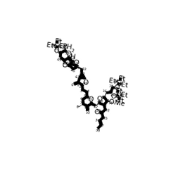 C=C1C(CCC2C[C@@H](C)C(=C)C(C[C@@H]3O[C@H](CC(CO[Si](CC)(CC)CC)O[Si](CC)(CC)CC)[C@H](OC)C3CC(=O)C/C=C/C)O2)OC2C(C[C@@]34CC5OC6C(O3)C(O[Si](CC)(CC)CC)[C@H](P)O[C@H]6C5O4)C12